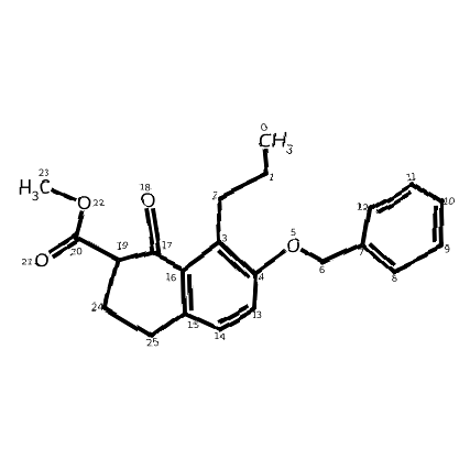 CCCc1c(OCc2ccccc2)ccc2c1C(=O)C(C(=O)OC)CC2